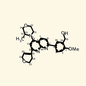 COc1ccc(-c2ccc3c(N4CCOC[C@@H]4C)cc(C4=CCOCC4)nc3n2)cc1CO